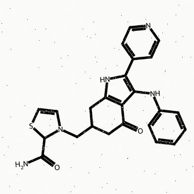 NC(=O)C1SC=CN1CC1CC(=O)c2c([nH]c(-c3ccncc3)c2Nc2ccccc2)C1